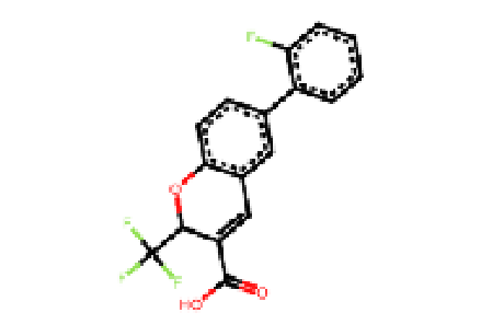 O=C(O)C1=Cc2cc(-c3ccccc3F)ccc2OC1C(F)(F)F